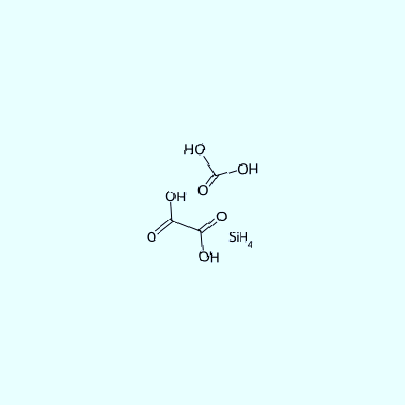 O=C(O)C(=O)O.O=C(O)O.[SiH4]